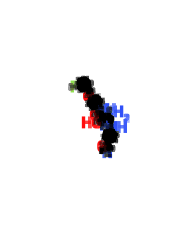 Nc1cc(Nc2ccc(-c3cnco3)cc2)nc(O)c1C(=O)Nc1ccc(OCc2cccc(F)c2)cc1